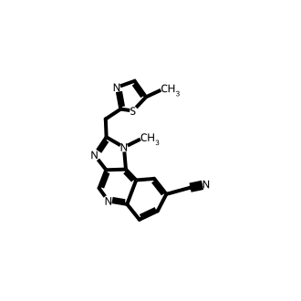 Cc1cnc(Cc2nc3cnc4ccc(C#N)cc4c3n2C)s1